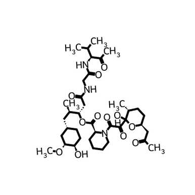 CO[C@@H]1C[C@H](C[C@@H](C)[C@H](CC(=O)NCC(=O)N[C@H](C(C)=O)C(C)C)OC(=O)[C@@H]2CCCCN2C(=O)C(=O)C2(O)O[C@H](CC(C)=O)CC[C@H]2C)CC[C@H]1O